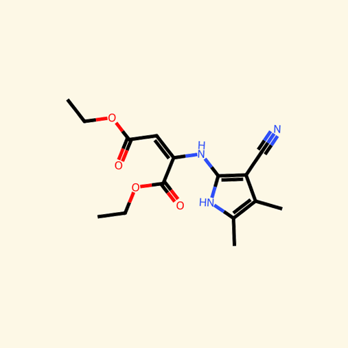 CCOC(=O)/C=C(/Nc1[nH]c(C)c(C)c1C#N)C(=O)OCC